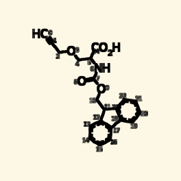 C#CCOCC(NC(=O)OCC1c2ccccc2-c2ccccc21)C(=O)O